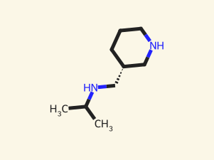 CC(C)NC[C@@H]1CCCNC1